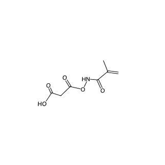 C=C(C)C(=O)NOC(=O)CC(=O)O